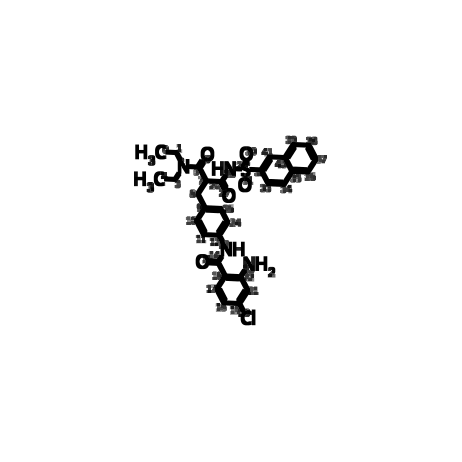 CCN(CC)C(=O)C(Cc1ccc(NC(=O)c2ccc(Cl)cc2N)cc1)C(=O)NS(=O)(=O)c1ccc2ccccc2c1